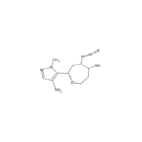 Cn1ncc([N+](=O)[O-])c1C1CC(N=[N+]=[N-])C(O)CCO1